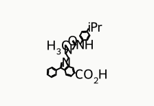 CC(C)c1ccc(NC(=O)CN(C)CCn2cc(-c3ccccc3)c3ccc(C(=O)O)cc32)cc1